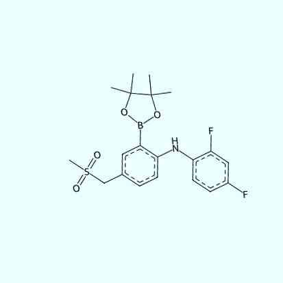 CC1(C)OB(c2cc(CS(C)(=O)=O)ccc2Nc2ccc(F)cc2F)OC1(C)C